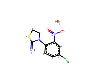 Br.N=C1SCCN1c1ccc(Cl)cc1[N+](=O)[O-]